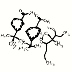 CC(C)(C)c1ccc(C(=O)O)cc1.CC(C)(C)c1ccc(C(=O)O)cc1.CCCC(O)C(C)(C)C(O)CC